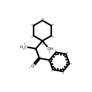 CC(C(=O)c1ccccc1)C1(O)CCCCC1